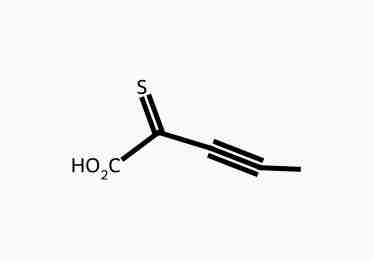 CC#CC(=S)C(=O)O